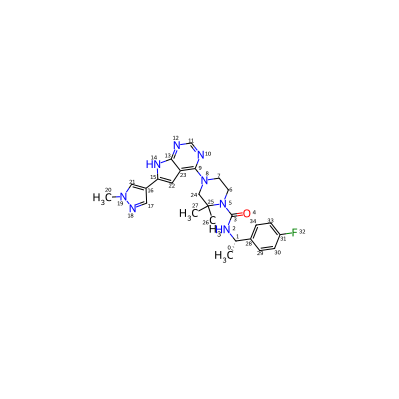 C[C@H](NC(=O)N1CCN(c2ncnc3[nH]c(-c4cnn(C)c4)cc23)CC1(C)C)c1ccc(F)cc1